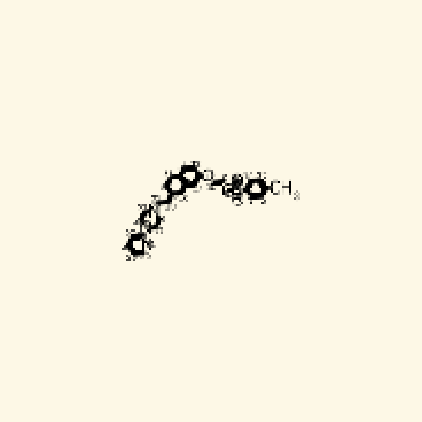 Cc1ccc(S(=O)(=O)OCCOc2ccc3c(c2)CC(CCN2CCN(c4ccccn4)CC2)CC3)cc1